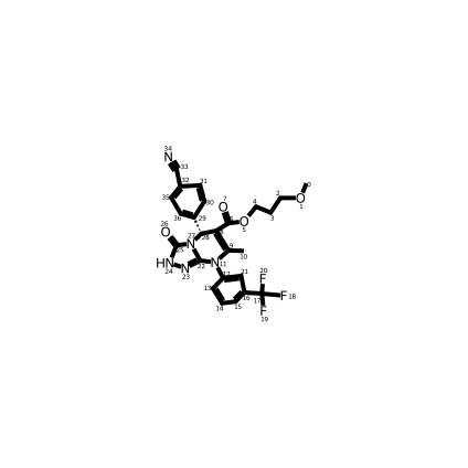 COCCCOC(=O)C1=C(C)N(c2cccc(C(F)(F)F)c2)c2n[nH]c(=O)n2[C@@H]1c1ccc(C#N)cc1